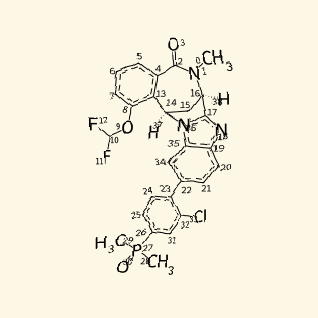 CN1C(=O)c2cccc(OC(F)F)c2[C@H]2C[C@@H]1c1nc3ccc(-c4ccc(P(C)(C)=O)cc4Cl)cc3n12